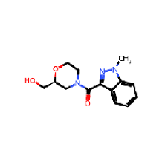 Cn1nc(C(=O)N2CCO[C@H](CO)C2)c2ccccc21